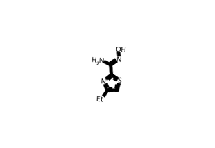 CCc1csc(/C(N)=N/O)n1